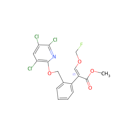 COC(=O)/C(=C\OCF)c1ccccc1COc1nc(Cl)c(Cl)cc1Cl